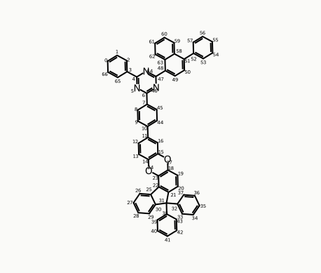 c1ccc(-c2nc(-c3ccc(-c4ccc5c(c4)Oc4ccc6c(c4O5)-c4ccccc4C6(c4ccccc4)c4ccccc4)cc3)nc(-c3ccc(-c4ccccc4)c4ccccc34)n2)cc1